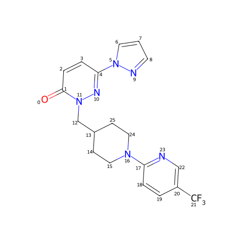 O=c1ccc(-n2cccn2)nn1CC1CCN(c2ccc(C(F)(F)F)cn2)CC1